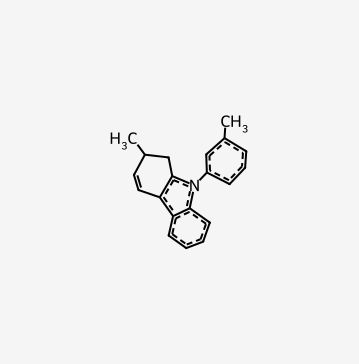 Cc1cccc(-n2c3c(c4ccccc42)C=CC(C)C3)c1